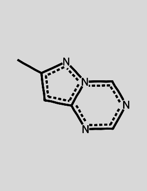 Cc1cc2ncncn2n1